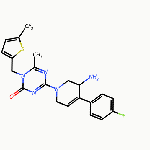 Cc1nc(N2CC=C(c3ccc(F)cc3)C(N)C2)nc(=O)n1Cc1ccc(C(F)(F)F)s1